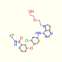 O=C(NC1CC1)c1cccc(Oc2ccc(Nc3ncnc4ccn(CCOCCO)c34)cc2Cl)c1